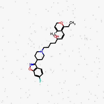 CCC1=C(/C=C\C(O)CCCCN2CCC(c3noc4cc(F)ccc34)CC2)C(C)=CCO1